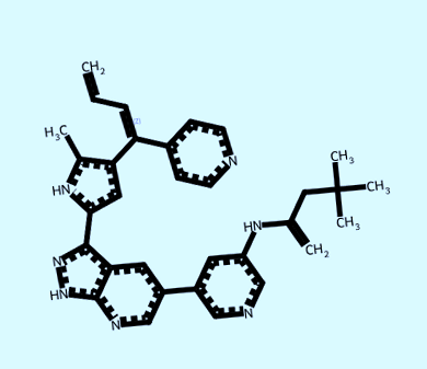 C=C/C=C(/c1ccncc1)c1cc(-c2n[nH]c3ncc(-c4cncc(NC(=C)CC(C)(C)C)c4)cc23)[nH]c1C